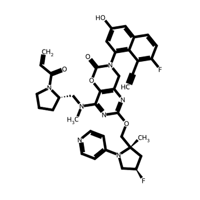 C#Cc1c(F)ccc2cc(O)cc(N3Cc4nc(OC[C@]5(C)C[C@@H](F)CN5c5ccncc5)nc(N(C)C[C@@H]5CCCN5C(=O)C=C)c4OC3=O)c12